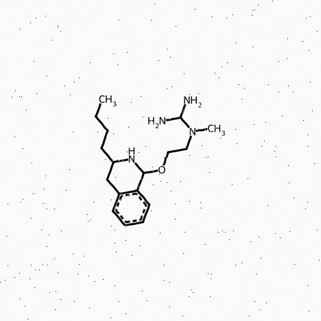 CCCCC1Cc2ccccc2C(OCCN(C)C(N)N)N1